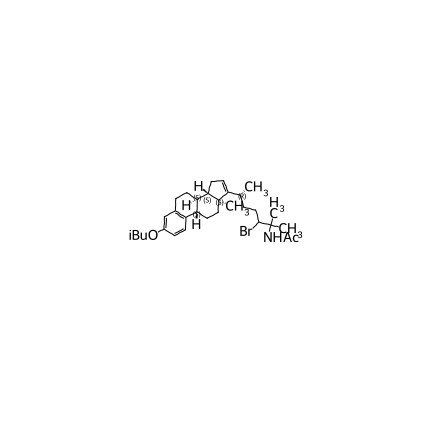 CC(=O)NC(C)(C)C(Br)CC[C@@H](C)C1=CC[C@H]2[C@@H]3CCc4cc(OCC(C)C)ccc4[C@H]3CC[C@]12C